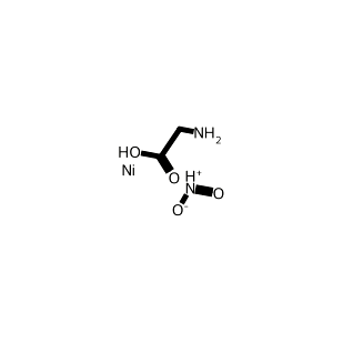 NCC(=O)O.O=[NH+][O-].[Ni]